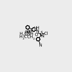 CC(C)(C)NS(=O)(=O)c1ccccc1-c1ccc(NC(=O)c2sc(Cl)nc2-c2cccc(C#N)c2)nc1